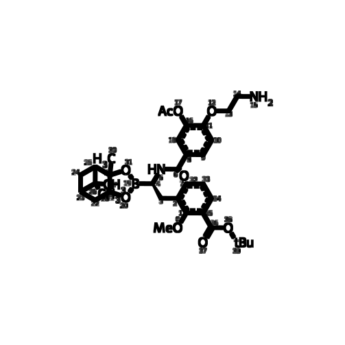 COc1c(C[C@H](NC(=O)c2ccc(OCCN)c(OC(C)=O)c2)B2OC3CC4CC(C4(C)C)C3(C)O2)cccc1C(=O)OC(C)(C)C